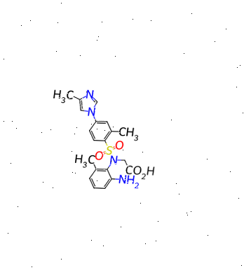 Cc1cn(-c2ccc(S(=O)(=O)N(CC(=O)O)c3c(C)cccc3N)c(C)c2)cn1